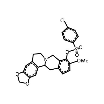 COc1ccc2c(c1OS(=O)(=O)c1ccc(Cl)cc1)CN1CCc3cc4c(cc3C1C2)OCO4